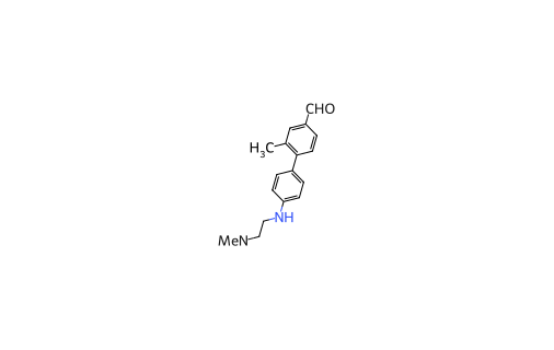 CNCCNc1ccc(-c2ccc(C=O)cc2C)cc1